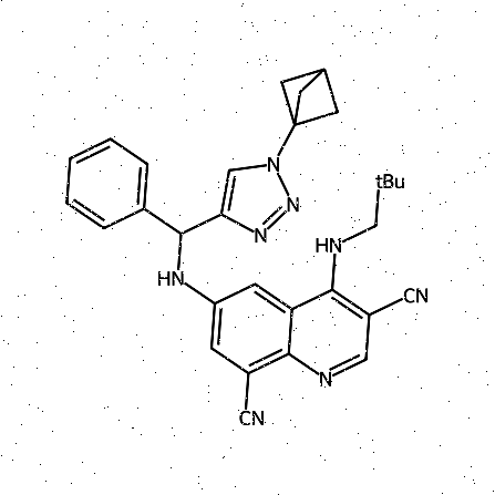 CC(C)(C)CNc1c(C#N)cnc2c(C#N)cc(NC(c3ccccc3)c3cn(C45CC(C4)C5)nn3)cc12